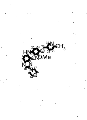 COc1cc(Nc2ccc3ncc(N4CCOCC4)nc3c2C#N)ccc1OCc1ccc(C)nc1